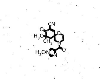 Cn1cnc(C(=O)N2CCOC3(C=C(C#N)C(=O)C(C)(C)C3)C2)c1